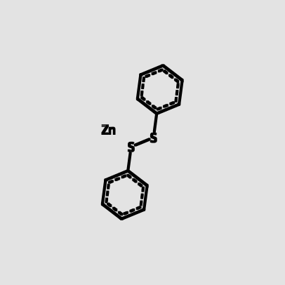 [Zn].c1ccc(SSc2ccccc2)cc1